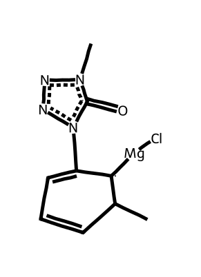 CC1C=CC=C(n2nnn(C)c2=O)[C]1[Mg][Cl]